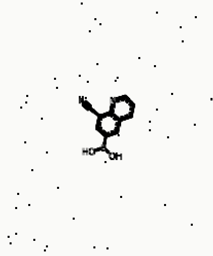 N#Cc1cc(B(O)O)cc2cccnc12